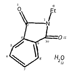 CCN1C(=O)c2ccccc2C1=O.O